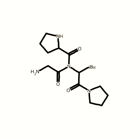 CCC(C)C(C(=O)N1CCCC1)N(C(=O)CN)C(=O)C1CCCN1